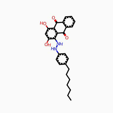 CCCCCCCc1ccc(NNc2c(O)cc(O)c3c2C(=O)c2ccccc2C3=O)cc1